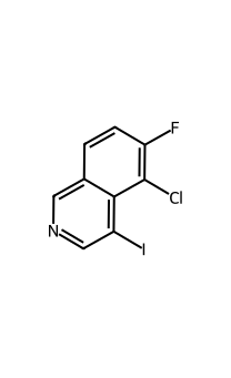 Fc1ccc2cncc(I)c2c1Cl